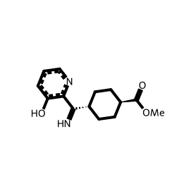 COC(=O)[C@H]1CC[C@H](C(=N)c2ncccc2O)CC1